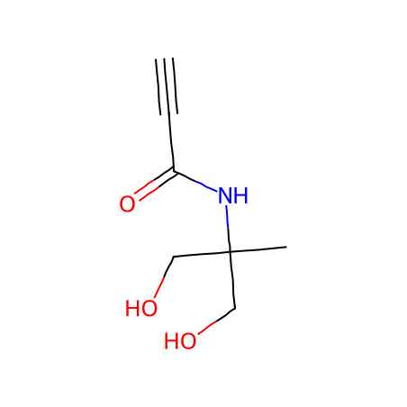 C#CC(=O)NC(C)(CO)CO